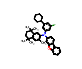 Cc1cc2c(cc1N(c1cc(Cl)cc(C3CCCCC3)c1)c1ccc3c(c1)oc1ccccc13)C(C)(C)CCC2(C)C